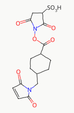 O=C(ON1C(=O)CC(S(=O)(=O)O)C1=O)C1CCC(CN2C(=O)C=CC2=O)CC1